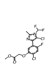 COC(=O)COc1cc(-c2nc(C)n(C(F)F)c2Cl)c(F)cc1Cl